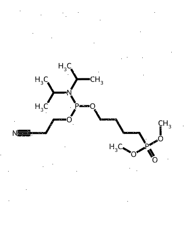 COP(=O)(CCCCOP(OCCC#N)N(C(C)C)C(C)C)OC